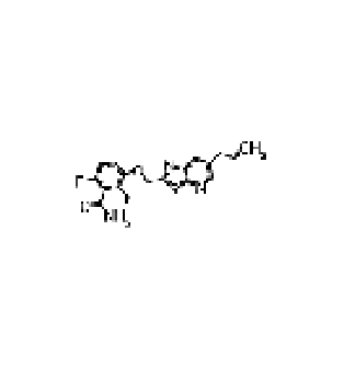 C=CCc1cnc2sc(COc3ccc(F)c(C(N)=O)c3F)nc2c1